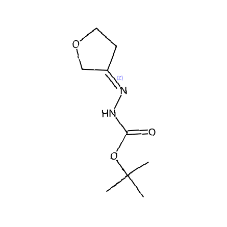 CC(C)(C)OC(=O)N/N=C1/CCOC1